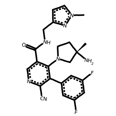 Cn1ccc(CNC(=O)c2cnc(C#N)c(-c3cc(F)cc(F)c3)c2N2CC[C@](C)(N)C2)n1